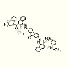 CCOc1c(CON(CC)c2cccc(C)c2)cc2ccccc2c1N=Nc1ccc2c(c1)C(=O)c1cc(N=Nc3c(OCC)c(C(=O)N(CC)c4ccccc4Cl)cc4ccccc34)ccc1-2